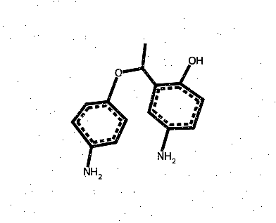 CC(Oc1ccc(N)cc1)c1cc(N)ccc1O